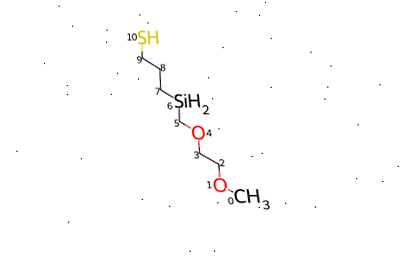 COCCOC[SiH2]CCCS